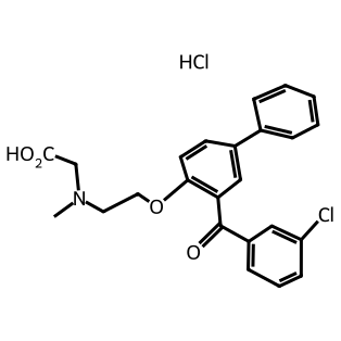 CN(CCOc1ccc(-c2ccccc2)cc1C(=O)c1cccc(Cl)c1)CC(=O)O.Cl